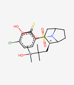 CC(C)(C[C@H]1C(OC(=S)OO)CC2CCC1N2S(=O)(=O)c1ccc(Cl)cc1)[Si](C)(C)O